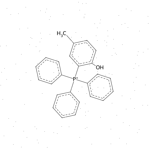 Cc1ccc(O)c([P+](c2ccccc2)(c2ccccc2)c2ccccc2)c1